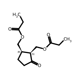 CCC(=O)OC[C@@H]1CCC(=O)[C@@H]1COC(=O)CC